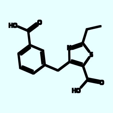 CCc1nc(Cc2cccc(C(=O)O)c2)c(C(=O)O)s1